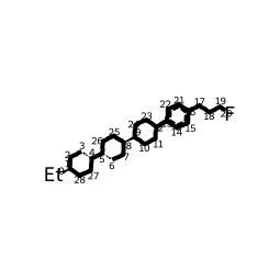 CC[C@H]1CC[C@H]([C@H]2CC[C@H](C3CCC(c4ccc(CCCF)cc4)CC3)CC2)CC1